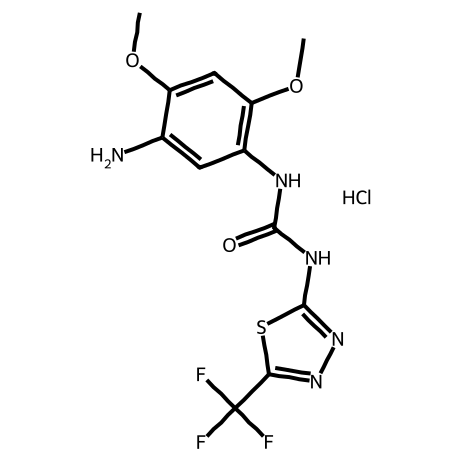 COc1cc(OC)c(NC(=O)Nc2nnc(C(F)(F)F)s2)cc1N.Cl